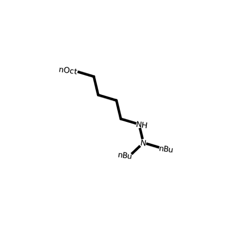 CCCCCCCCCCCCNN(CCCC)CCCC